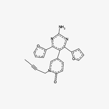 CC#CCn1cc(-c2c(-c3ccco3)nc(N)nc2-c2ccco2)ccc1=O